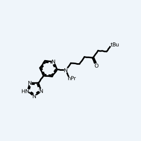 CCCN(CCCC(=O)CCC(C)(C)C)c1cc(-c2nn[nH]n2)ccn1